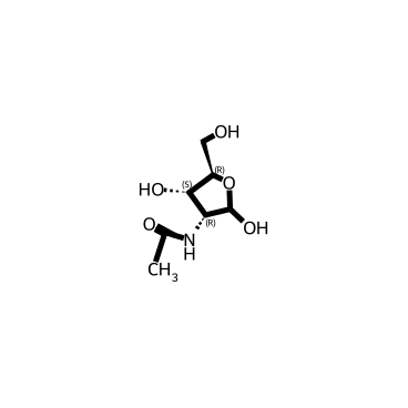 CC(=O)N[C@H]1C(O)O[C@H](CO)[C@H]1O